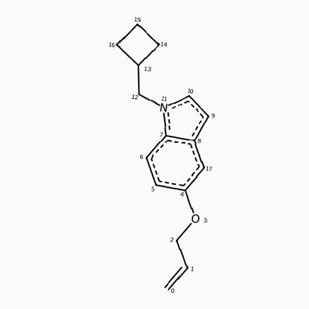 C=CCOc1ccc2c(ccn2CC2CCC2)c1